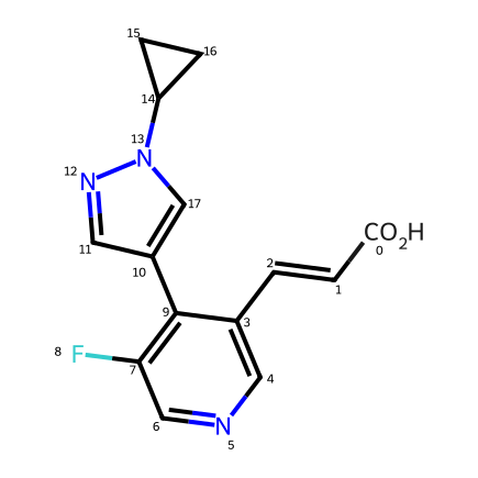 O=C(O)/C=C/c1cncc(F)c1-c1cnn(C2CC2)c1